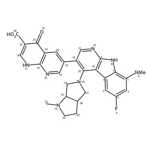 CNc1cc(F)cc2c1[nH]c1ncc(-c3cnc4[nH]cc(C(=O)O)c(=O)c4c3)c(N3CC4CCN(C)C4C3)c12